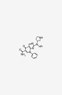 CCCN(c1ncc2c(=O)c(C(N)=O)cn(-c3ccccc3)c2n1)C1CCNC1